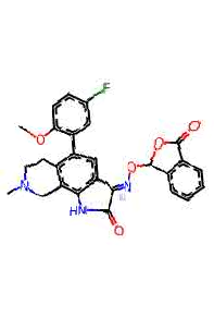 COc1ccc(F)cc1-c1cc2c(c3c1CCN(C)C3)NC(=O)/C2=N/OC1OC(=O)c2ccccc21